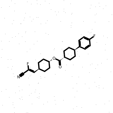 N#CC(F)=C[C@H]1CC[C@H](OC(=O)[C@H]2CC[C@H](c3ccc(F)cc3)CC2)CC1